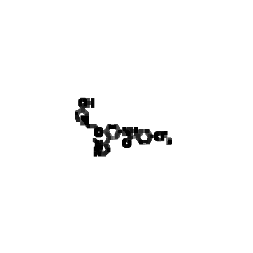 Cn1nccc1-c1cc(NC(=O)c2ccc(C(F)(F)F)cc2)ccc1OCCN1CC[C@H](O)C1